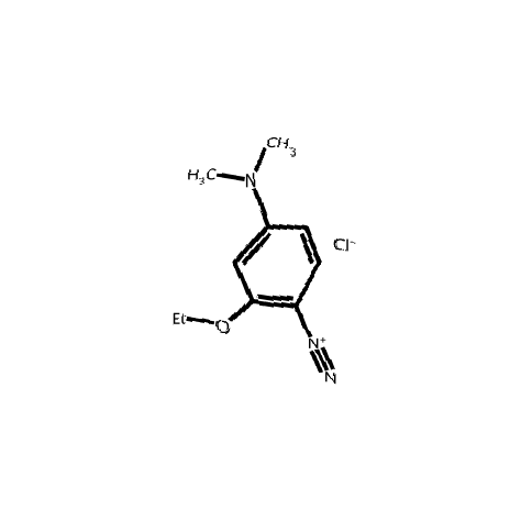 CCOc1cc(N(C)C)ccc1[N+]#N.[Cl-]